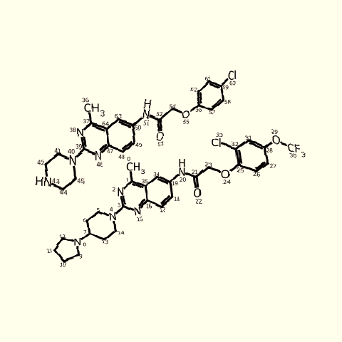 Cc1nc(N2CCC(N3CCCC3)CC2)nc2ccc(NC(=O)COc3ccc(OC(F)(F)F)cc3Cl)cc12.Cc1nc(N2CCNCC2)nc2ccc(NC(=O)COc3ccc(Cl)cc3)cc12